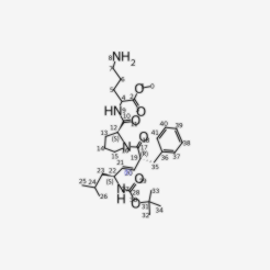 COC(=O)C(CCCN)NC(=O)[C@@H]1CCCN1C(=O)[C@@H](/C=C/[C@H](CC(C)C)NC(=O)OC(C)(C)C)Cc1ccccc1